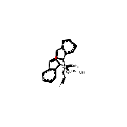 C=C[CH2][Zr]([CH3])(=[SiH2])([CH]1C=Cc2ccccc21)[CH]1C=Cc2ccccc21.Cl.Cl